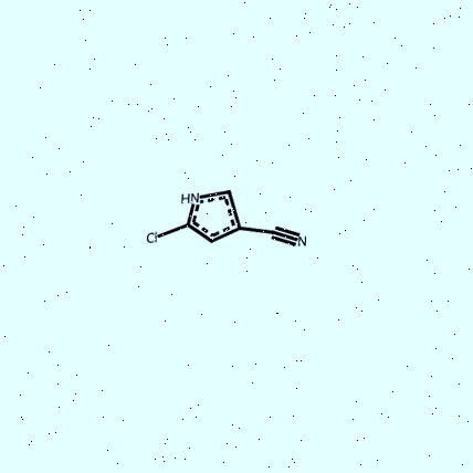 N#Cc1c[nH]c(Cl)c1